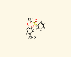 CCC(Oc1ccc(C=O)cc1)S(=O)(=O)c1ccccc1